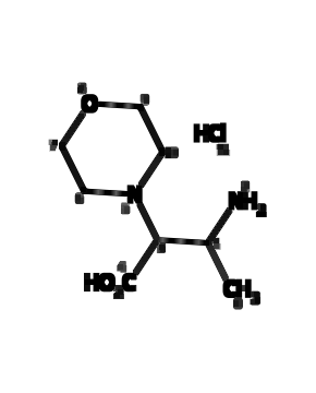 CC(N)C(C(=O)O)N1CCOCC1.Cl